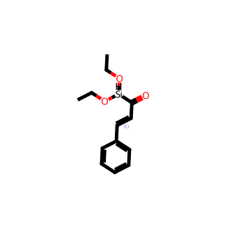 CCO[SiH](OCC)C(=O)/C=C/c1ccccc1